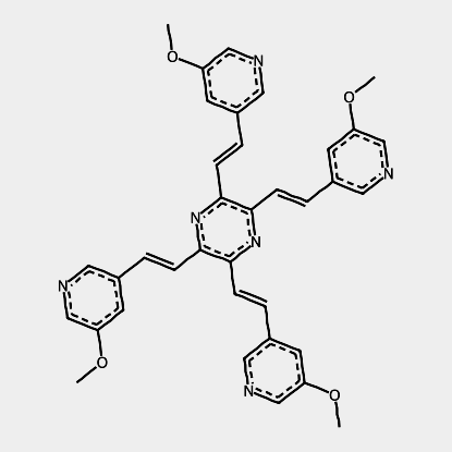 COc1cncc(C=Cc2nc(C=Cc3cncc(OC)c3)c(C=Cc3cncc(OC)c3)nc2C=Cc2cncc(OC)c2)c1